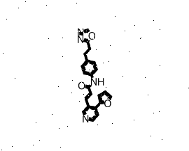 O=C(C=Cc1cnccc1-c1ccco1)Nc1ccc(CCc2nnco2)cc1